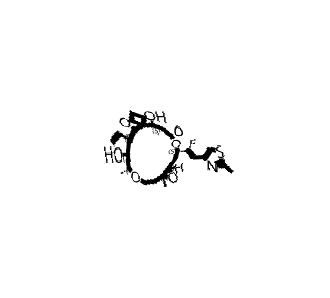 CC[C@H]1C(=O)C2(CCC2)[C@@H](O)CC(=O)O[C@H](C(F)=Cc2csc(C)n2)C[C@@H]2O[C@]2(C)CCO[C@H](C)[C@H]1O